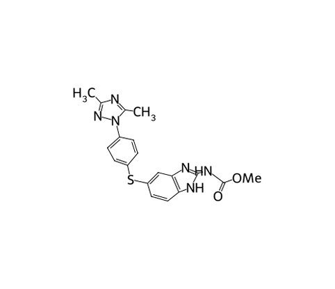 COC(=O)Nc1nc2cc(Sc3ccc(-n4nc(C)nc4C)cc3)ccc2[nH]1